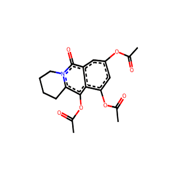 CC(=O)Oc1cc(OC(C)=O)c2c(OC(C)=O)c3n(c(=O)c2c1)CCCC3